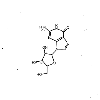 Nc1nc2c(ncn2C2OC(CO)[C@@H](O)C2O)c(=O)[nH]1